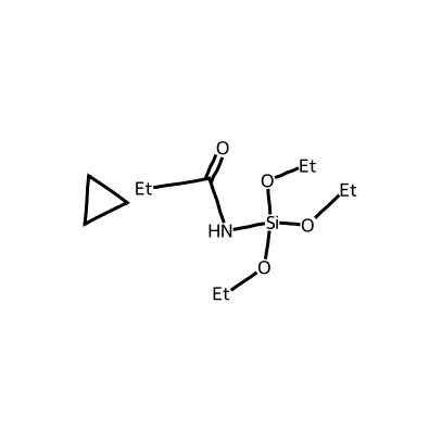 C1CC1.CCO[Si](NC(=O)CC)(OCC)OCC